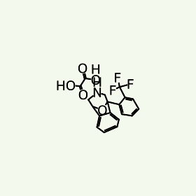 FC(F)(F)c1ccccc1C12CNCC(O1)c1ccccc12.O=C(O)C(=O)O